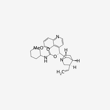 C=C[C@H]1CN2CC[C@H]1C[C@H]2[C@H](OC(=O)NC1CCCCC1)c1ccnc2ccc(OC)cc12